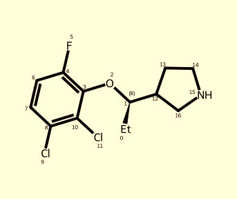 CC[C@@H](Oc1c(F)ccc(Cl)c1Cl)C1CCNC1